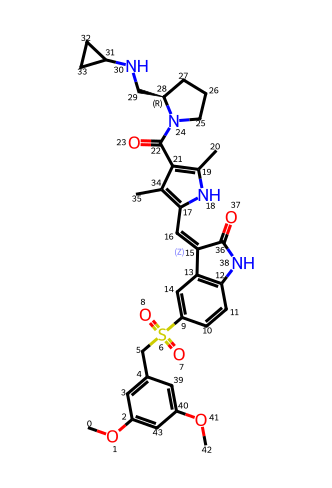 COc1cc(CS(=O)(=O)c2ccc3c(c2)/C(=C/c2[nH]c(C)c(C(=O)N4CCC[C@@H]4CNC4CC4)c2C)C(=O)N3)cc(OC)c1